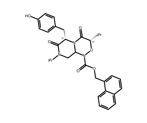 CC(C)[C@@H]1ON(C(=O)OCc2cccc3ccccc23)C2CN(C(C)C)C(=O)[C@H](Cc3ccc(O)cc3)N2C1=O